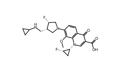 COc1c(N2C[C@H](CNC3CC3)[C@H](F)C2)ccc2c(=O)c(C(=O)O)cn([C@@H]3C[C@@H]3F)c12